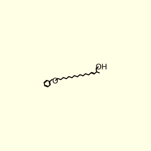 CC(/C=C/CCCCCCCCCCCCOCc1ccccc1)CO